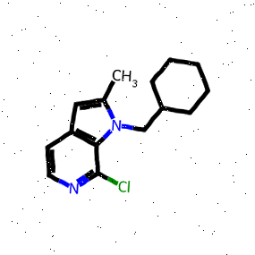 Cc1cc2ccnc(Cl)c2n1CC1CCCCC1